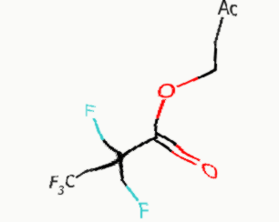 CC(=O)COC(=O)C(F)(F)C(F)(F)F